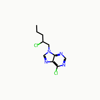 CCCC(Cl)Cn1cnc2c(Cl)ncnc21